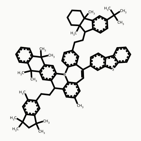 Cc1cc2c3c(c1)C(CCc1cc4c(cc1C)C(C)(C)CC4(C)C)c1cc4c(cc1B3c1ccc(CCC3c5ccc(C(C)(C)C)cc5C5(C)CCCCC35C)cc1C(c1ccc3c(c1)sc1ccccc13)=C2)C(C)(C)c1ccccc1C4(C)C